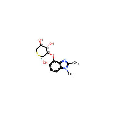 Cc1nc2c(O[C@@H]3[C@@H](O)[C@H](O)CS[C@H]3O)cccc2n1C